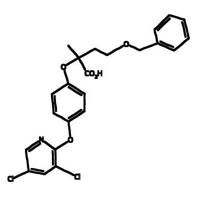 CC(CCOCc1ccccc1)(Oc1ccc(Oc2ncc(Cl)cc2Cl)cc1)C(=O)O